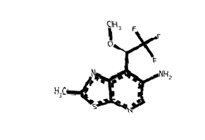 CO[C@H](c1c(N)cnc2sc(C)nc12)C(F)(F)F